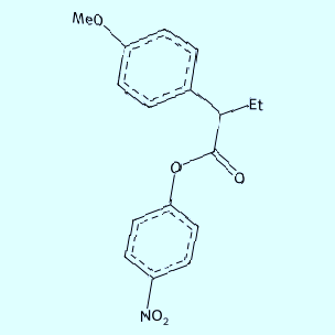 CCC(C(=O)Oc1ccc([N+](=O)[O-])cc1)c1ccc(OC)cc1